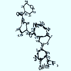 COc1ncc(N2CCc3ncnc(OC4CCN(C(=O)C5CCOCC5)C4)c3C2)cc1C(F)(F)F